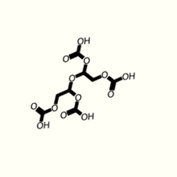 O=C(O)OCC(OC(=O)O)OC(COC(=O)O)OC(=O)O